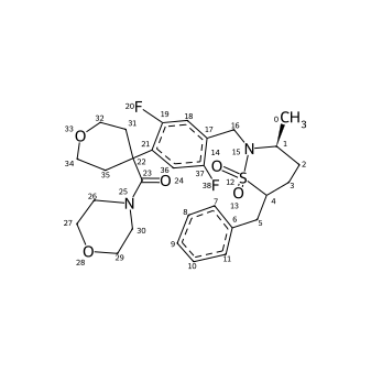 C[C@H]1CCC(Cc2ccccc2)S(=O)(=O)N1Cc1cc(F)c(C2(C(=O)N3CCOCC3)CCOCC2)cc1F